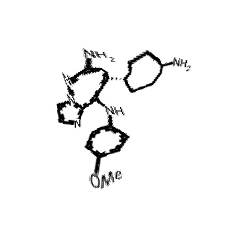 COc1ccc(Nc2c3nccn3nc(N)c2[C@H]2CC[C@H](N)CC2)cc1